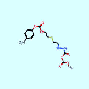 CC(C)(C)OC(=O)OC(=O)NNCCSCCOC(=O)Oc1ccc([N+](=O)[O-])cc1